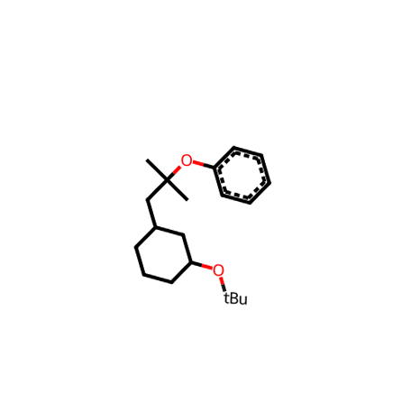 CC(C)(C)OC1CCCC(CC(C)(C)Oc2ccccc2)C1